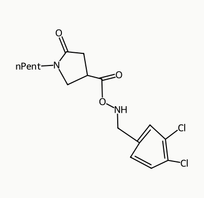 CCCCCN1CC(C(=O)ONCc2ccc(Cl)c(Cl)c2)CC1=O